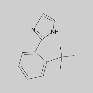 CC(C)(C)c1ccccc1-c1ncc[nH]1